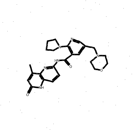 Cc1cc(=O)[nH]c2ccc(NC(=O)c3cc(CN4CCOCC4)cnc3N3CCCC3)nc12